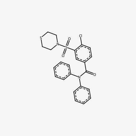 O=C(c1ccc(Cl)c(S(=O)(=O)N2CCSCC2)c1)N(c1ccccc1)c1ccccc1